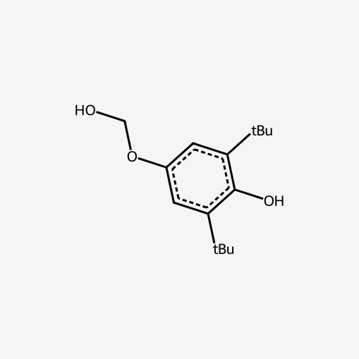 CC(C)(C)c1cc(OCO)cc(C(C)(C)C)c1O